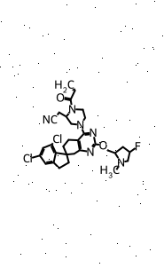 C=CC(=O)N1CCN(c2nc(OCC3CC(F)CN3C)nc3c2CCC2(CCc4cc(Cl)cc(Cl)c42)C3)CC1CC#N